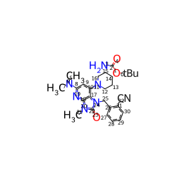 CC(C)(C)OC(N)=O.CN(C)c1cc(N2CCCCC2)c2c(n1)n(C)c(=O)n2Cc1ccccc1C#N